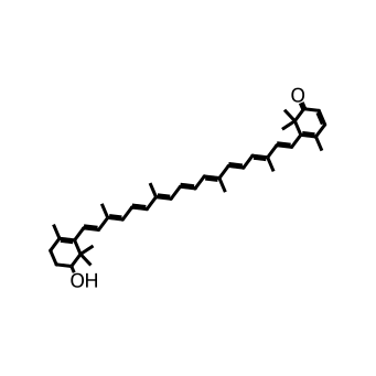 CC1=C(/C=C/C(C)=C/C=C/C(C)=C/C=C/C=C(C)/C=C/C=C(C)/C=C/C2=C(C)CCC(O)C2(C)C)C(C)(C)C(=O)C=C1